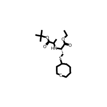 CCOC(=O)[C@H](CSC1CCCCCCC1)NC(C)C(=O)OC(C)(C)C